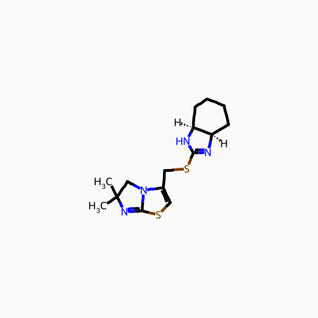 CC1(C)CN2C(CSC3=N[C@@H]4CCCC[C@@H]4N3)=CSC2=N1